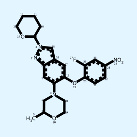 CC1CN(c2cc3nn(C4CCCCO4)cc3cc2Oc2ccc([N+](=O)[O-])cc2F)CCO1